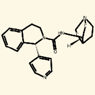 O=C(N[C@@H]1CN2CCC1CC2)N1CCc2ccccc2[C@H]1c1ccncc1